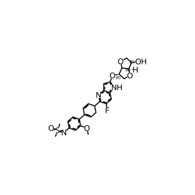 COc1cc(N=S(C)(C)=O)ccc1C1=CCC(c2nc3cc(O[C@@H]4CO[C@H]5C4OC[C@H]5O)[nH]c3cc2F)C=C1